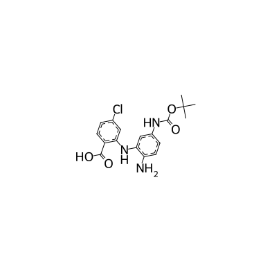 CC(C)(C)OC(=O)Nc1ccc(N)c(Nc2cc(Cl)ccc2C(=O)O)c1